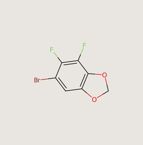 Fc1c(Br)cc2c(c1F)OCO2